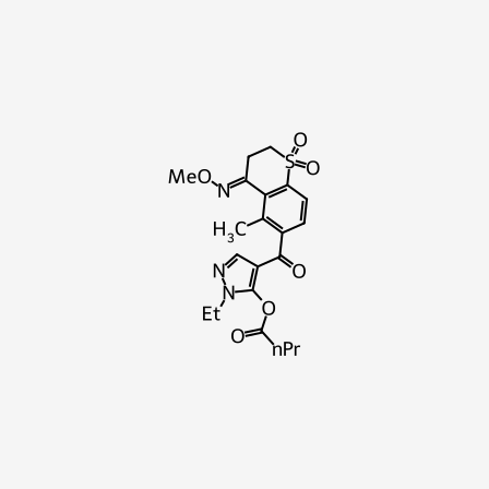 CCCC(=O)Oc1c(C(=O)c2ccc3c(c2C)C(=NOC)CCS3(=O)=O)cnn1CC